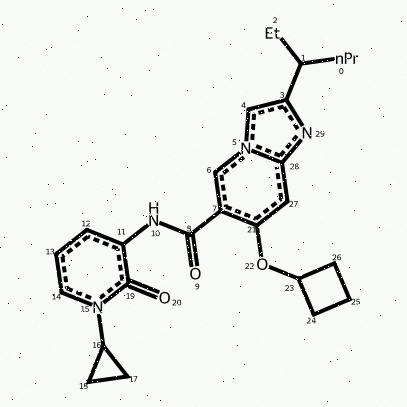 CCCC(CC)c1cn2cc(C(=O)Nc3cccn(C4CC4)c3=O)c(OC3CCC3)cc2n1